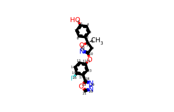 C[C@]1(c2ccc(O)cc2)CC(Oc2ccc(F)c(-c3nnco3)c2)=NO1